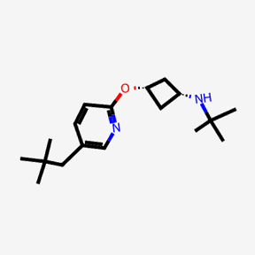 CC(C)(C)Cc1ccc(O[C@H]2C[C@@H](NC(C)(C)C)C2)nc1